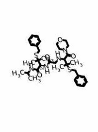 CC(C)NC(=O)[C@H](NC(=O)CNC(C(=O)N1CCOCC1)C(C)(C)SCc1ccccc1)C(C)(C)SCc1ccccc1